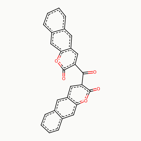 O=C(c1cc2cc3ccccc3cc2oc1=O)c1cc2cc3ccccc3cc2oc1=O